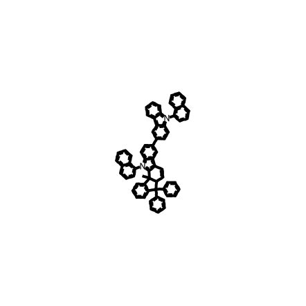 CC12c3ccccc3C(c3ccccc3)(c3ccccc3)C1C=Cc1c2n(-c2cccc3ccccc23)c2ccc(-c3ccc4c(c3)c3ccccc3n4-c3cccc4ccccc34)cc12